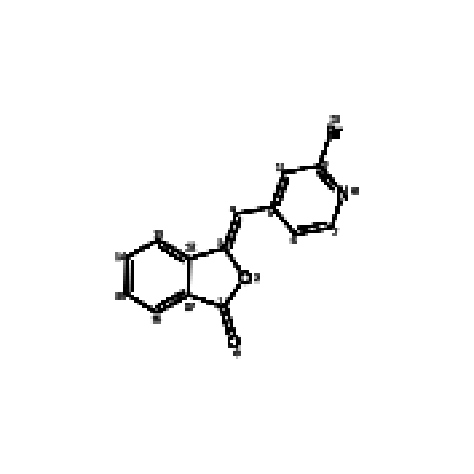 O=C1O/C(=C\c2ccnc(Br)c2)c2ccccc21